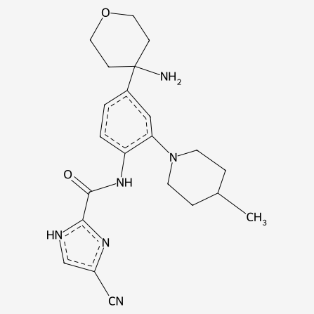 CC1CCN(c2cc(C3(N)CCOCC3)ccc2NC(=O)c2nc(C#N)c[nH]2)CC1